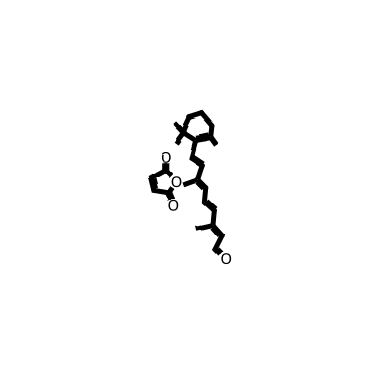 CC1=C(/C=C/C(C)=C/C=C/C(C)=C/C=O)C(C)(C)CCC1.O=C1C=CC(=O)O1